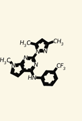 Cc1cc(C)n(-c2nc(Nc3cccc(C(F)(F)F)c3)c3ccn(C)c3n2)n1